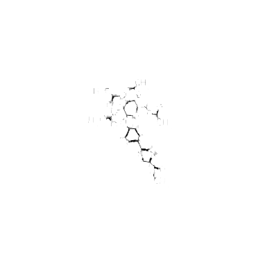 COC(=O)c1cnc(-c2ccc(O[C@H]3O[C@H](COC(C)=O)[C@@H](OC(C)=O)[C@H](OC(C)=O)[C@@H]3OC(C)=O)cc2)cn1